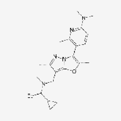 CCC(C1CC1)N(C)Cc1c(C)nn2c(-c3ccc(N(C)C)nc3C)c(C)oc12